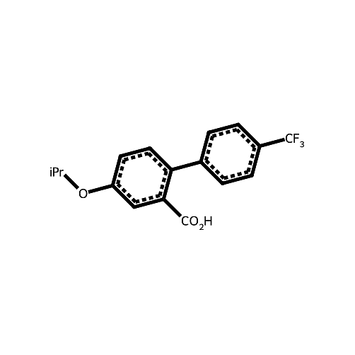 CC(C)Oc1ccc(-c2ccc(C(F)(F)F)cc2)c(C(=O)O)c1